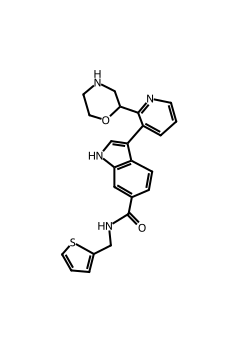 O=C(NCc1cccs1)c1ccc2c(-c3cccnc3C3CNCCO3)c[nH]c2c1